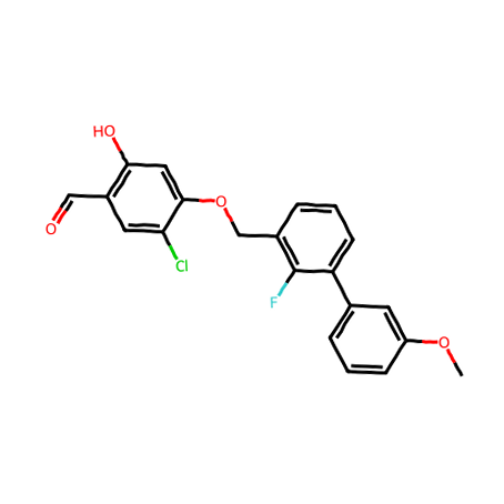 COc1cccc(-c2cccc(COc3cc(O)c(C=O)cc3Cl)c2F)c1